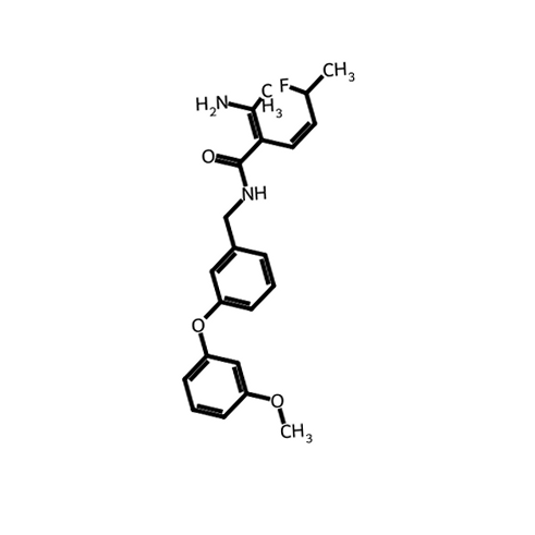 COc1cccc(Oc2cccc(CNC(=O)C(/C=C\C(C)F)=C(/C)N)c2)c1